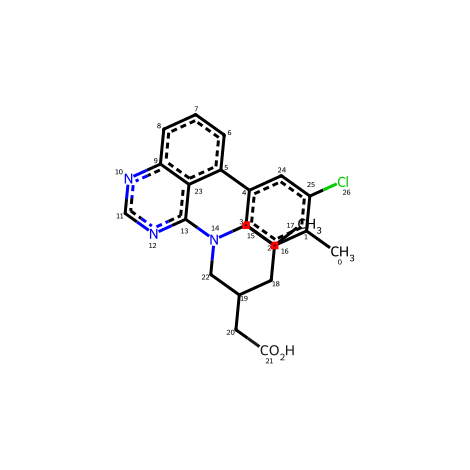 Cc1ccc(-c2cccc3ncnc(N4CC(C)CC(CC(=O)O)C4)c23)cc1Cl